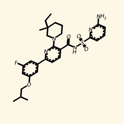 CCC1(C)CCCN(c2nc(-c3cc(F)cc(OCC(C)C)c3)ccc2C(=O)NS(=O)(=O)c2cccc(N)n2)C1